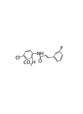 O=C(C=Cc1cccc(F)c1)Nc1ccc(Cl)cc1C(=O)O